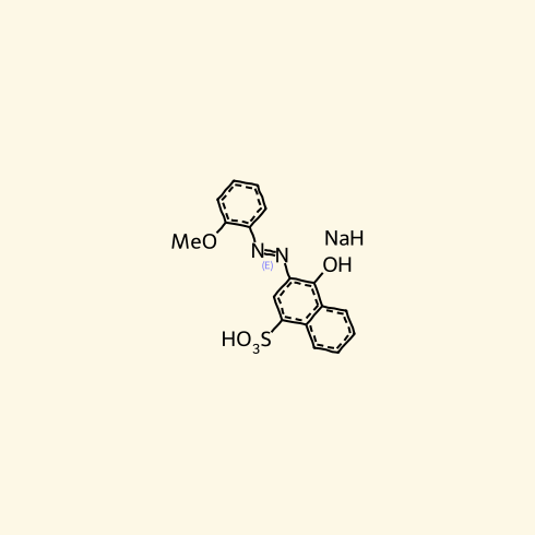 COc1ccccc1/N=N/c1cc(S(=O)(=O)O)c2ccccc2c1O.[NaH]